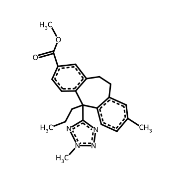 CCCC1(c2nnn(C)n2)c2ccc(C)cc2CCc2cc(C(=O)OC)ccc21